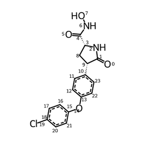 O=C1N[C@@H](C(=O)NO)C[C@H]1c1ccc(Oc2ccc(Cl)cc2)cc1